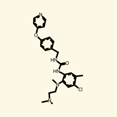 Cc1cc(NC(=O)NCc2ccc(Oc3ccncc3)cc2)c(N(C)CCN(C)C)cc1Cl